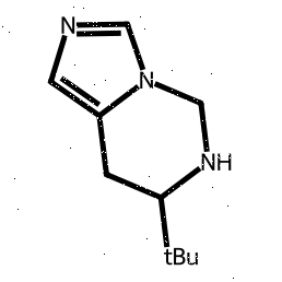 CC(C)(C)C1Cc2cncn2CN1